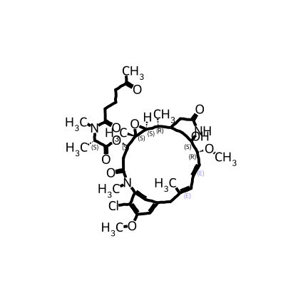 COc1cc2cc(c1Cl)N(C)C(=O)C[C@H](OC(=O)[C@H](C)N(C)C(=O)CCCC(C)=O)[C@]1(C)O[C@H]1[C@H](C)C1CC(=O)N[C@](O)(C1)[C@H](OC)/C=C/C=C(\C)C2